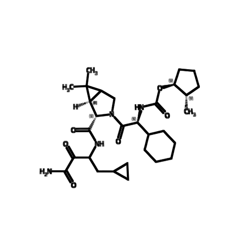 C[C@H]1CCC[C@@H]1OC(=O)N[C@H](C(=O)N1CC2[C@@H]([C@H]1C(=O)NC(CC1CC1)C(=O)C(N)=O)C2(C)C)C1CCCCC1